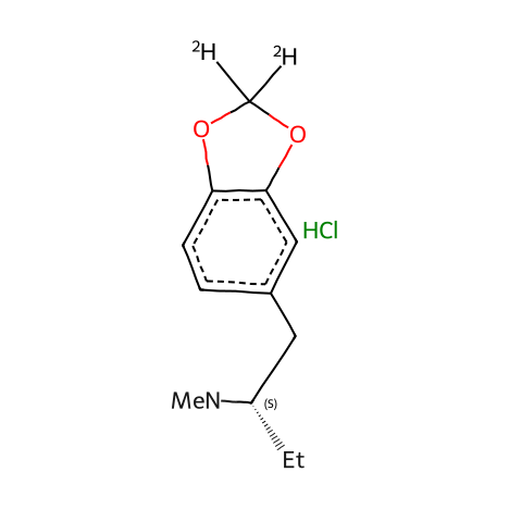 Cl.[2H]C1([2H])Oc2ccc(C[C@H](CC)NC)cc2O1